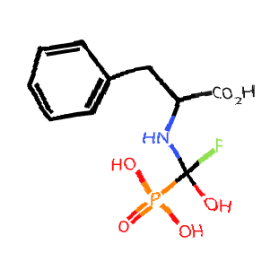 O=C(O)C(Cc1ccccc1)NC(O)(F)P(=O)(O)O